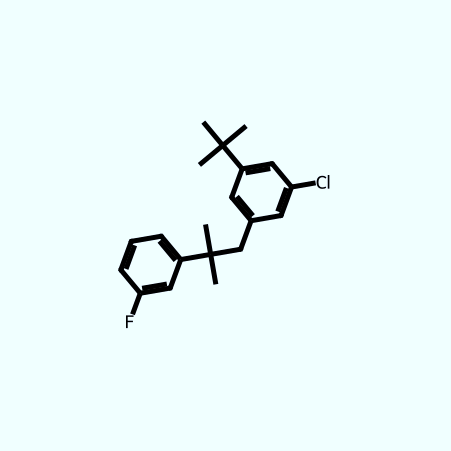 CC(C)(C)c1cc(Cl)cc(CC(C)(C)c2cccc(F)c2)c1